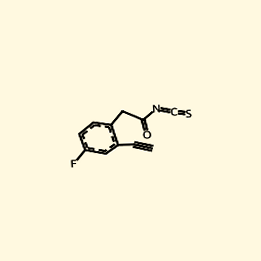 C#Cc1cc(F)ccc1CC(=O)N=C=S